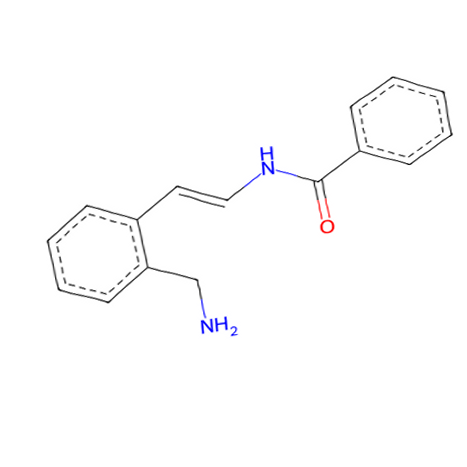 NCc1ccccc1C=CNC(=O)c1ccccc1